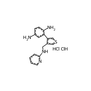 Cl.Cl.Nc1ccc(N)c(-c2cscc2CNc2ccccn2)c1